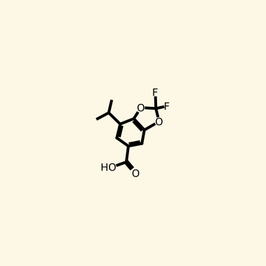 CC(C)c1cc(C(=O)O)cc2c1OC(F)(F)O2